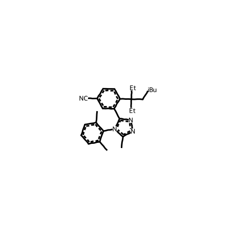 CCC(C)CC(CC)(CC)c1ccc(C#N)cc1-c1nnc(C)n1-c1c(C)cccc1C